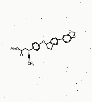 CC#C[C@H](CC(=O)OC)c1ccc(OC2CCc3cc(-c4ccc5c(c4)OCO5)ccc32)cc1